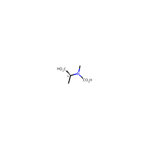 C[C@@H](C(=O)O)N(C)C(=O)O